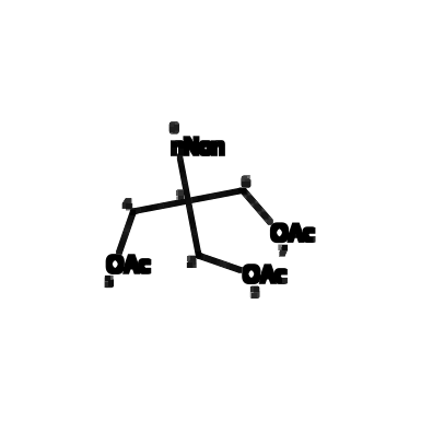 CCCCCCCCCC(COC(C)=O)(COC(C)=O)COC(C)=O